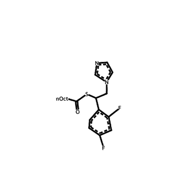 CCCCCCCCC(=O)SC(Cn1ccnc1)c1ccc(F)cc1F